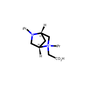 CC(C)N1C[C@@H]2C[C@H]1C[N+]2(CC(=O)O)C(C)C